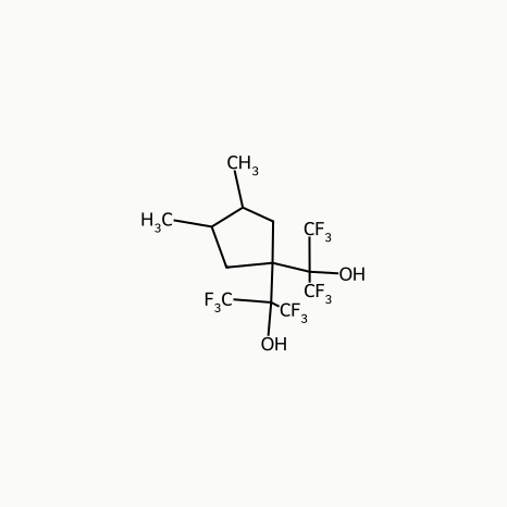 CC1CC(C(O)(C(F)(F)F)C(F)(F)F)(C(O)(C(F)(F)F)C(F)(F)F)CC1C